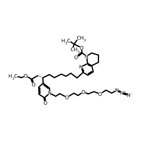 CCOC(=O)C[C@H](CCCCCCc1ccc2c(n1)N(C(=O)OC(C)(C)C)CCC2)c1ccc(=O)n(CCOCCOCCOCCN=[N+]=[N-])c1